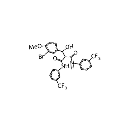 COc1ccc(C(O)C(C(=O)Nc2cccc(C(F)(F)F)c2)C(=O)Nc2cccc(C(F)(F)F)c2)cc1Br